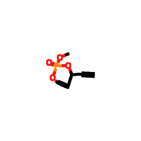 C#CC1C=COP(=O)(OC)O1